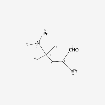 CCCC(C=O)CC(C)(C)N(C)C(C)C